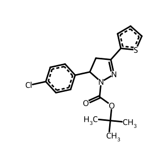 CC(C)(C)OC(=O)N1N=C(c2cccs2)CC1c1ccc(Cl)cc1